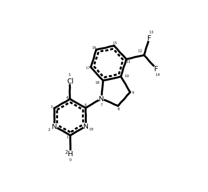 [2H]c1ncc(Cl)c(N2CCc3c(C(F)F)cccc32)n1